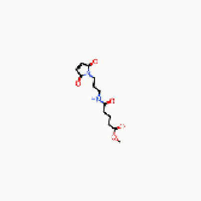 COC(=O)CCCC(=O)NCCCN1C(=O)C=CC1=O